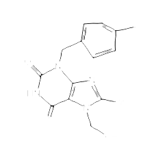 CCn1c(Br)nc2c1c(=O)[nH]c(=O)n2Cc1ccc(Cl)cc1